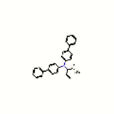 C=CC([C@H](C)[C@@H](C)CC)N(c1ccc(-c2ccccc2)cc1)c1ccc(-c2ccccc2)cc1